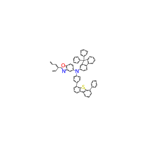 C=C/C=C(\C=C)c1nc2cc(N(c3ccc(-c4cccc5c4sc4c(-c6ccccc6)cccc45)cc3)c3ccc4c(c3)C(c3ccccc3)(c3ccccc3)c3ccccc3-4)ccc2o1